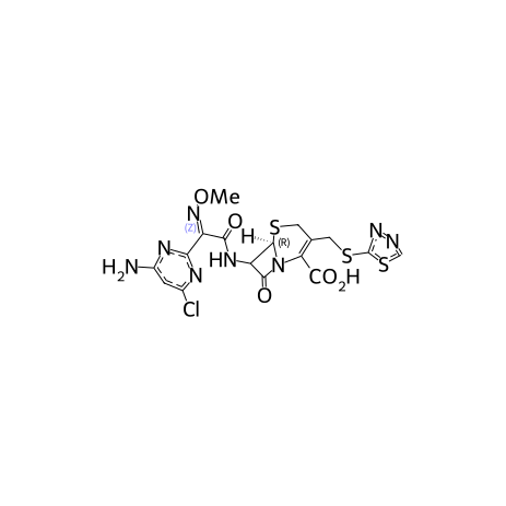 CO/N=C(\C(=O)NC1C(=O)N2C(C(=O)O)=C(CSc3nncs3)CS[C@H]12)c1nc(N)cc(Cl)n1